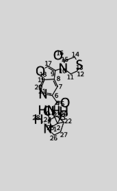 C[C@H]1[C@H](NC(=O)c2cc3c(N4CCSCC4=O)coc3cn2)C2CCN1CC2